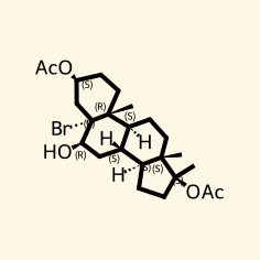 CC(=O)O[C@H]1CC[C@]2(C)[C@H]3CC[C@@]4(C)[C@@H](CC[C@]4(C)OC(C)=O)[C@@H]3C[C@@H](O)[C@@]2(Br)C1